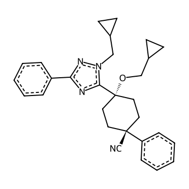 N#C[C@]1(c2ccccc2)CC[C@](OCC2CC2)(c2nc(-c3ccccc3)nn2CC2CC2)CC1